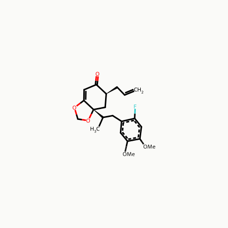 C=CC[C@H]1C[C@]2(C(C)Cc3cc(OC)c(OC)cc3F)OCOC2=CC1=O